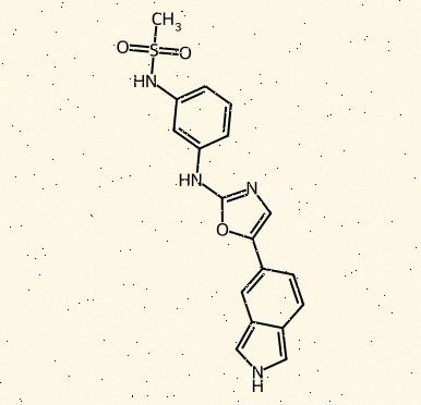 CS(=O)(=O)Nc1cccc(Nc2ncc(-c3ccc4c[nH]cc4c3)o2)c1